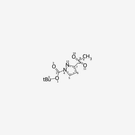 CC(C)(C)OC(=O)n1ccc(S(C)(=O)=O)n1